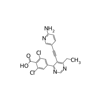 CCc1ncnc(-c2cc(Cl)c(C(=O)O)c(Cl)c2)c1C#Cc1ccc(N)nc1